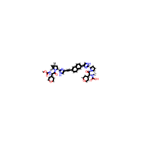 COC(=O)N[C@H](C(=O)N1[C@@H]2C[C@H]2C[C@H]1c1nc(C#Cc2ccc3cc(-c4c[nH]c([C@@H]5CC[C@H](C)N5C(=O)[C@H](C5CCOCC5)N(C)C(=O)O)n4)ccc3c2)c[nH]1)C1CCOCC1